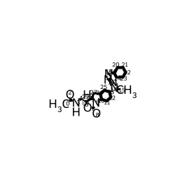 CC(=O)NC[C@@H]1OC(=O)N2c3ccc(N(C)n4nnc5ccccc54)cc3C[C@@H]12